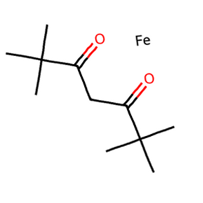 CC(C)(C)C(=O)CC(=O)C(C)(C)C.[Fe]